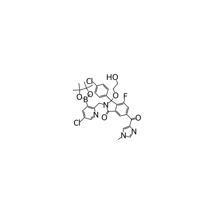 Cn1cnc(C(=O)c2cc(F)c3c(c2)C(=O)N(Cc2ncc(Cl)cc2B2OC(C)(C)C(C)(C)O2)C3(OCCO)c2ccc(Cl)cc2)c1